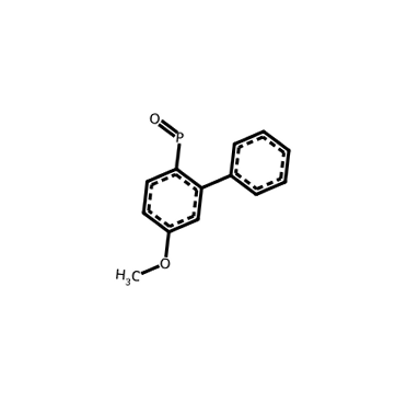 COc1ccc(P=O)c(-c2ccccc2)c1